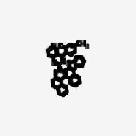 Cc1ccc(-c2nc(N3Sc4ccc5ccccc5c4-c4c3c3sc5ccccc5c3c3ccccc43)nc3ccccc23)c(C)c1